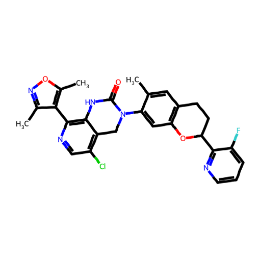 Cc1cc2c(cc1N1Cc3c(Cl)cnc(-c4c(C)noc4C)c3NC1=O)OC(c1ncccc1F)CC2